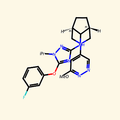 COc1cc(N2C[C@H]3CC[C@H](C2)C3Nc2nc(Oc3cccc(F)c3)n(C(C)C)n2)cnn1